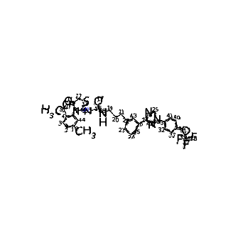 Cc1ccc(C(C)C)c(N2C(=O)CS/C2=N\C(=O)NCCCc2cccc(-c3ncn(-c4ccc(OC(F)(F)F)cc4)n3)c2)c1